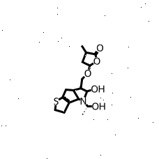 CC1CC(OCC2C3CC4=C(CCS4)C3N([C@@H](C)O)C2O)OC1=O